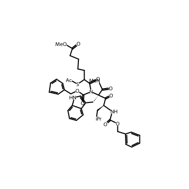 CNC(=O)[C@@](Cc1c[nH]c2ccccc12)(C(=O)[C@H](CC(C)C)NC(=O)OCc1ccccc1)N(C(=O)OCc1ccccc1)C(=O)C(CCCCC(=O)OC)SC(C)=O